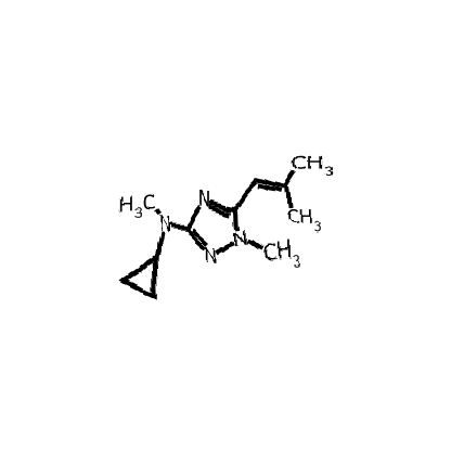 CC(C)=Cc1nc(N(C)C2CC2)nn1C